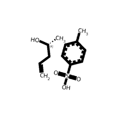 C=CC[C@@H](C)O.Cc1ccc(S(=O)(=O)O)cc1